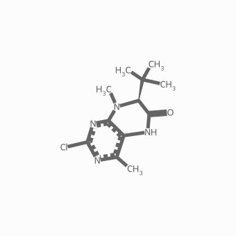 Cc1nc(Cl)nc2c1NC(=O)[C@H](C(C)(C)C)N2C